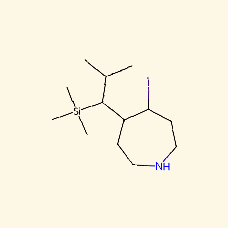 CC(C)C(C1CCNCCC1I)[Si](C)(C)C